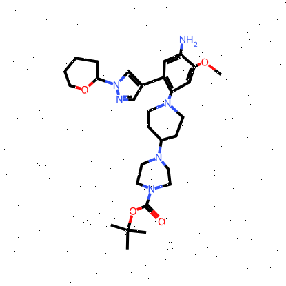 COc1cc(N2CCC(N3CCN(C(=O)OC(C)(C)C)CC3)CC2)c(-c2cnn(C3CCCCO3)c2)cc1N